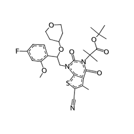 COc1cc(F)ccc1C(Cn1c(=O)n(C(C)(C)C(=O)OC(C)(C)C)c(=O)c2c(C)c(C#N)sc21)OC1CCOCC1